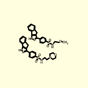 COCCNS(=O)(=O)c1ccc(-c2n[nH]c3c2Cc2ccccc2-3)cc1.O=S(=O)(NCCN1CCOCC1)c1ccc(-c2n[nH]c3c2Cc2ccccc2-3)cc1